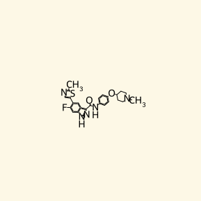 Cc1ncc(-c2cc3c(C(=O)Nc4ccc(OC5CCN(C)CC5)cc4)n[nH]c3cc2F)s1